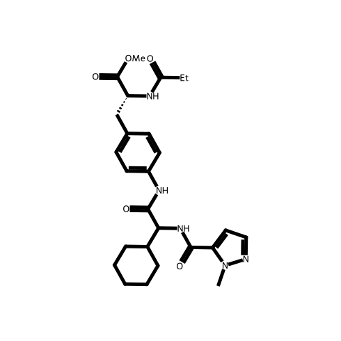 CCC(=O)N[C@H](Cc1ccc(NC(=O)C(NC(=O)c2ccnn2C)C2CCCCC2)cc1)C(=O)OC